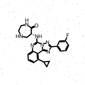 O=C1NCCNC[C@H]1Nc1nc2cccc(C3CC3)c2c2nc(-c3cccc(F)c3)nn12